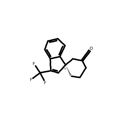 O=C1CCC[C@@]2(C=C(C(F)(F)F)c3ccccc32)C1